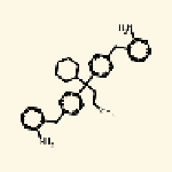 CCCC(c1ccc(Cc2ccccc2N)cc1)(c1ccc(Cc2ccccc2N)cc1)C1CCCCC1